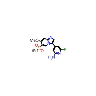 COc1cc2ncc(-c3cc(N)nc(F)c3)n2cc1S(=O)(=O)C(C)(C)C